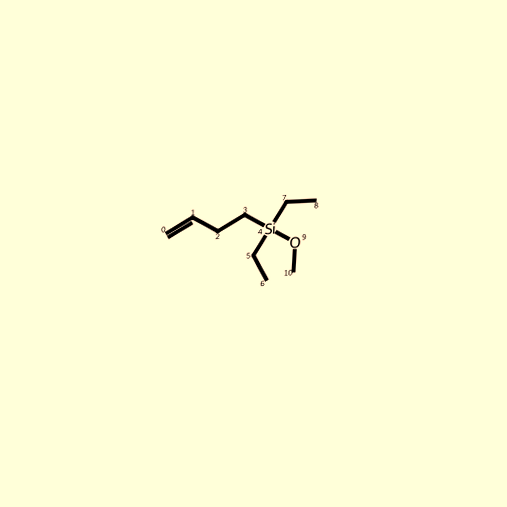 C=CCC[Si](CC)(CC)OC